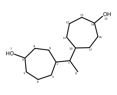 CC(C1CCCC(O)CC1)C1CCCC(O)CC1